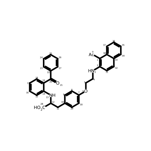 CC(=O)c1c(NCCOc2ccc(CC(Nc3ccccc3C(=O)c3ccccc3)C(=O)O)cc2)ccc2ccccc12